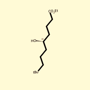 CCOC(=O)CCC[C@@H](O)CCCC(C)(C)C